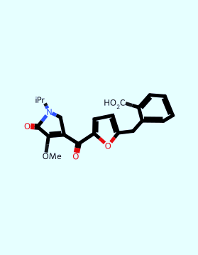 COC1=C(C(=O)c2ccc(Cc3ccccc3C(=O)O)o2)CN(C(C)C)C1=O